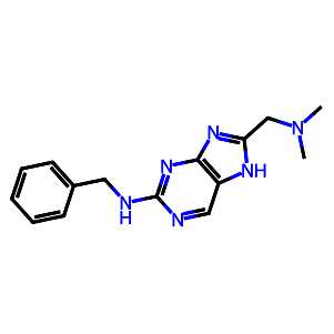 CN(C)Cc1nc2nc(NCc3ccccc3)ncc2[nH]1